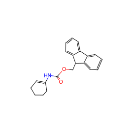 O=C(NC1=CCCCC1)OCC1c2ccccc2-c2ccccc21